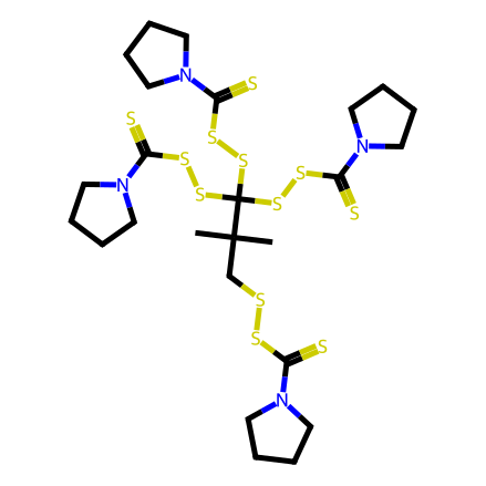 CC(C)(CSSC(=S)N1CCCC1)C(SSC(=S)N1CCCC1)(SSC(=S)N1CCCC1)SSC(=S)N1CCCC1